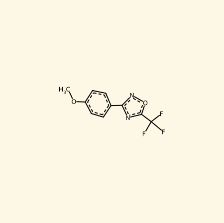 COc1ccc(-c2noc(C(F)(F)F)n2)cc1